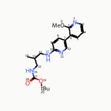 COc1ncccc1-c1ccc(NCC(C)CNC(=O)OC(C)(C)C)nc1